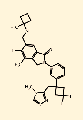 Cn1cnnc1CC1(c2cccc(N3Cc4c(cc(CNC5(C)CCC5)c(F)c4C(F)(F)F)C3=O)c2)CC(F)(F)C1